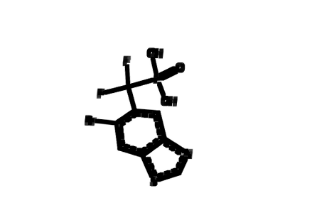 O=P(O)(O)C(F)(F)c1cc2ncsc2cc1Br